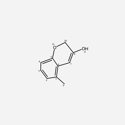 Cc1cccc2c1C=C(O)CO2